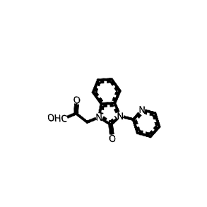 O=CC(=O)Cn1c(=O)n(-c2ccccn2)c2ccccc21